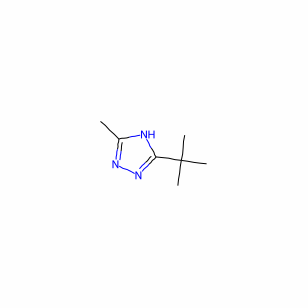 Cc1nnc(C(C)(C)C)[nH]1